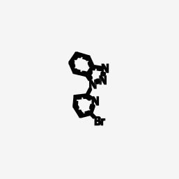 Brc1cccc(-n2nnc3ccccc32)n1